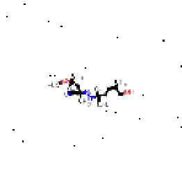 COC(C)(C)CC(C)(C#N)N=NC(C)(C)CCC(C)CO